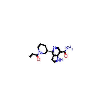 C=CC(=O)N1CCC[C@@H](c2ncc(C(N)=O)c3[nH]ccc23)C1